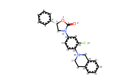 O=C1O[C@@H](c2cc[c]cc2)CN1c1ccc(N2CCc3ccccc3C2)c(F)c1